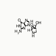 Nc1nc2c(ncn2[C@@H]2O[C@@]34CN[C@@H]2[C@@]3(O)C4O)c(=O)[nH]1